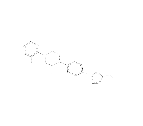 CCc1nc(-c2ccc(N3CCN(c4ncccc4Cl)C[C@H]3C)cc2)cs1